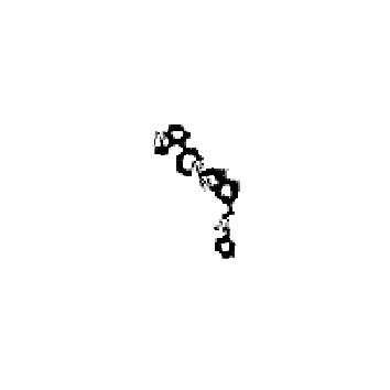 CN(CCc1ccc2ccc(N3CCCC(C4=CC=CC5=NC=CC45)CC3)nc2c1)Cc1ccccc1